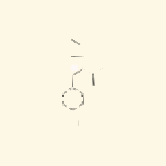 C=CC(C)(C)/C(=C/c1ccc(O)cc1)C(=C)C